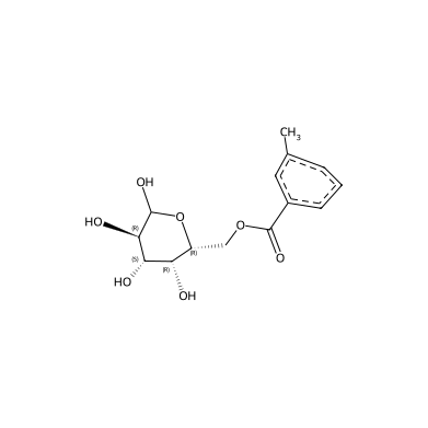 Cc1cccc(C(=O)OC[C@H]2OC(O)[C@H](O)[C@@H](O)[C@H]2O)c1